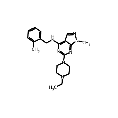 CCN1CCN(c2nc(NCc3ccccc3C)c3cnn(C)c3n2)CC1